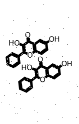 O=c1c(O)c(-c2ccccc2)oc2ccc(O)cc12.O=c1c(O)c(-c2ccccc2)oc2ccc(O)cc12